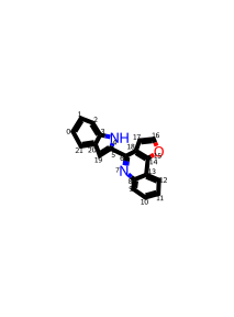 c1ccc2[nH]c(-c3nc4ccccc4c4occc34)cc2c1